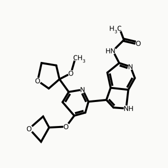 COC1(c2cc(OC3COC3)cc(-c3c[nH]c4cnc(NC(C)=O)cc34)n2)CCOC1